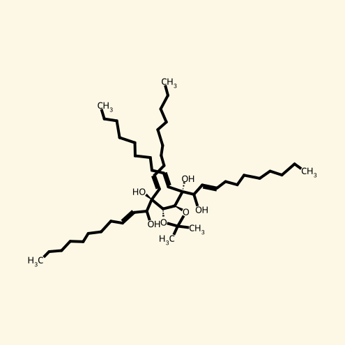 CCCCCCCCC=CC(O)[C@](O)(C=CCCCCCCCC)[C@H]1OC(C)(C)O[C@@H]1[C@@](O)(C=CCCCCCCCC)C(O)C=CCCCCCCCC